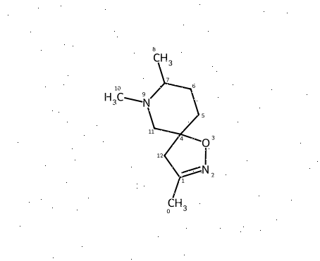 CC1=NOC2(CCC(C)N(C)C2)C1